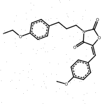 CCOc1ccc(CCCN2C(=O)O/C(=C/c3ccc(OC)cc3)C2=O)cc1